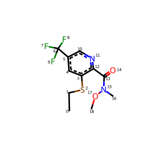 CCSc1cc(C(F)(F)F)cnc1C(=O)N(C)OC